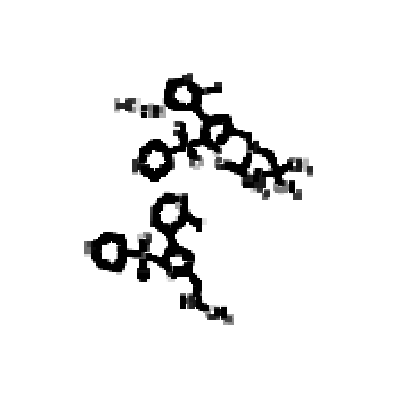 CC(C)(C)CN(Cc1cc(-c2cccnc2F)c(S(=O)(=O)c2ccncc2)s1)C(=O)O.CNCc1cc(-c2cccnc2F)c(S(=O)(=O)c2ccncc2)s1.Cl.Cl